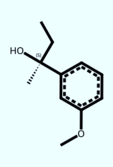 CC[C@](C)(O)c1cccc(OC)c1